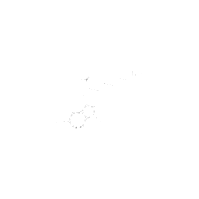 Cc1c(CC(CCCCCN)C(=O)O)c2cc(Br)ccc2n1C